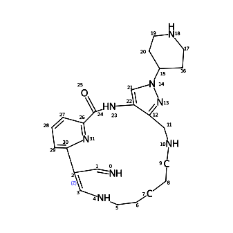 N=C/C1=C\NCCCCCNCc2nn(C3CCNCC3)cc2NC(=O)c2cccc1n2